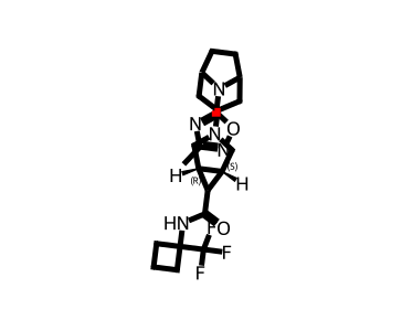 Cc1noc(N2C3CCC2CC(N2C[C@@H]4C(C(=O)NC5(C(F)(F)F)CCC5)[C@@H]4C2)C3)n1